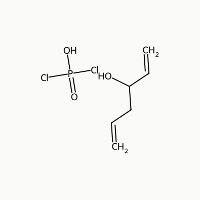 C=CCC(O)C=C.O=P(O)(Cl)Cl